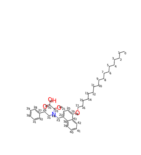 CCCCCCCCCCCCCCCCCCOc1ccc(CN(CCc2ccccc2)C(=O)C(=O)O)c2ccccc12